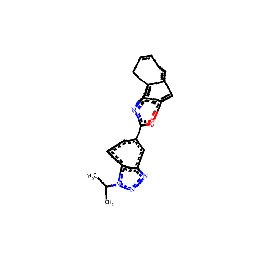 CC(C)n1nnc2cc(-c3nc4c(o3)=CC3=CC=CCC=43)ccc21